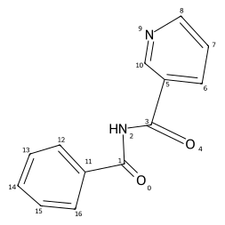 O=C(NC(=O)c1cccnc1)c1ccccc1